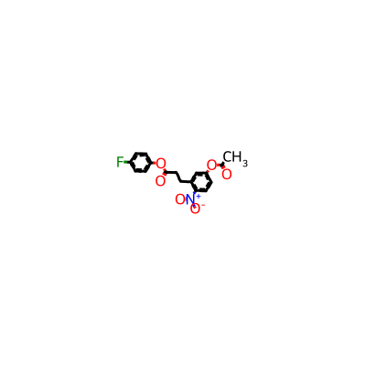 CC(=O)Oc1ccc([N+](=O)[O-])c(CCC(=O)Oc2ccc(F)cc2)c1